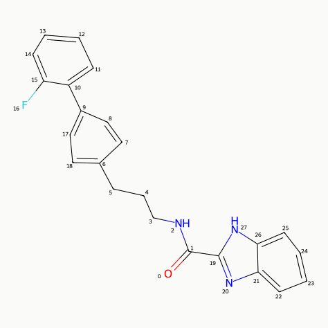 O=C(NCCCc1ccc(-c2ccccc2F)cc1)c1nc2ccccc2[nH]1